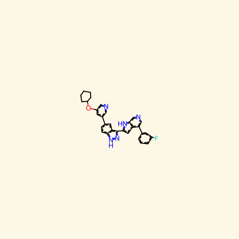 Fc1cccc(-c2cncc3[nH]c(-c4n[nH]c5ccc(-c6cncc(OC7CCCCC7)c6)cc45)cc23)c1